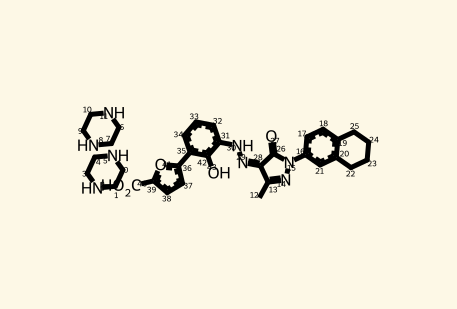 C1CNCCN1.C1CNCCN1.CC1=NN(c2ccc3c(c2)CCCC3)C(=O)/C1=N\Nc1cccc(-c2ccc(C(=O)O)o2)c1O